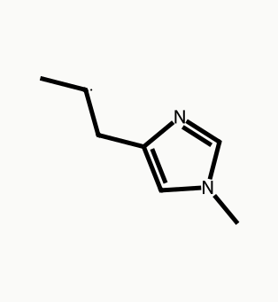 C[CH]Cc1cn(C)cn1